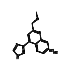 COCc1cc(-c2c[nH]cn2)c2ccccc2n1.Cl.Cl